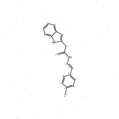 O=C(Cc1cc2ccccc2[nH]1)N/N=C/c1ccc(Cl)cc1